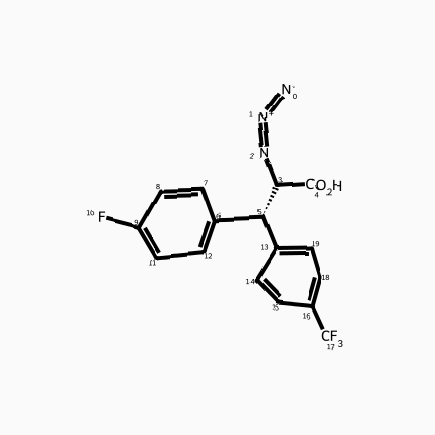 [N-]=[N+]=NC(C(=O)O)[C@@H](c1ccc(F)cc1)c1ccc(C(F)(F)F)cc1